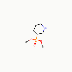 CCOP(=O)(OCC)C1CCCNC1